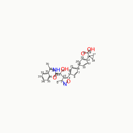 Cc1noc(-c2ccc(-c3ccc(C4(C(=O)O)CC4)cc3)cc2)c1C(O)C(=O)NC(C)c1ccccc1